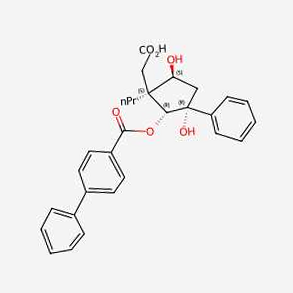 CCC[C@@]1(CC(=O)O)[C@@H](OC(=O)c2ccc(-c3ccccc3)cc2)[C@](O)(c2ccccc2)C[C@@H]1O